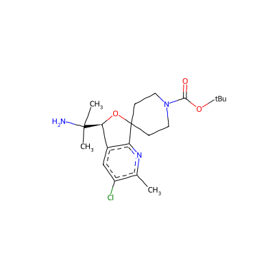 Cc1nc2c(cc1Cl)[C@@H](C(C)(C)N)OC21CCN(C(=O)OC(C)(C)C)CC1